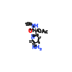 CC(=O)OC(C(=O)NC(C)(C)C)c1ccc(N)cn1